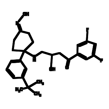 CC(C)(C)c1cccc(C2(NCC(O)CC(=O)c3cc(F)cc(F)c3)CCC(=NO)CC2)c1